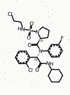 O=C(NC1CCCCC1)[C@H](c1ccccc1Cl)N(C(=O)[C@@H]1CCCN1S(=O)(=O)NCCCl)c1cccc(F)c1